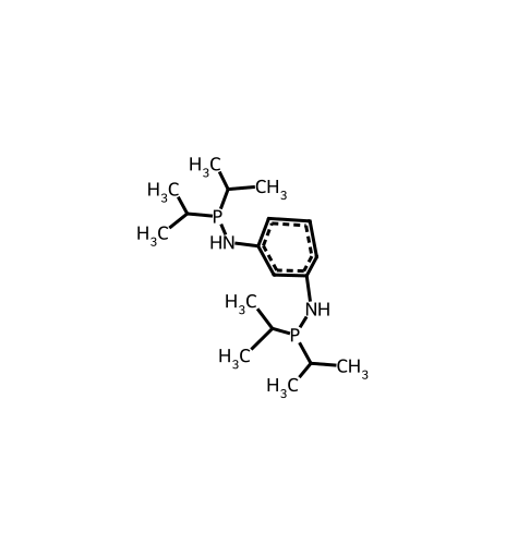 CC(C)P(Nc1cccc(NP(C(C)C)C(C)C)c1)C(C)C